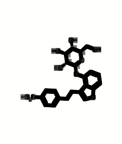 O=C(O)c1ccc(CCc2coc3cccc(O[C@@H]4O[C@H](CO)[C@@H](O)[C@H](O)[C@H]4O)c23)cc1